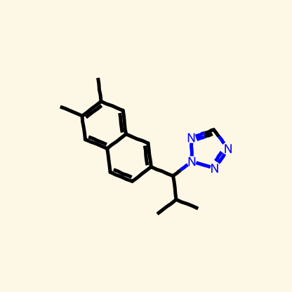 Cc1cc2ccc(C(C(C)C)n3ncnn3)cc2cc1C